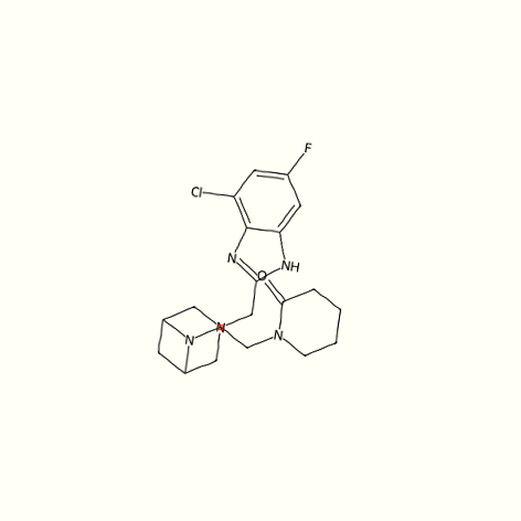 O=C1CCCCN1CCN1C2CC1CN(Cc1nc3c(Cl)cc(F)cc3[nH]1)C2